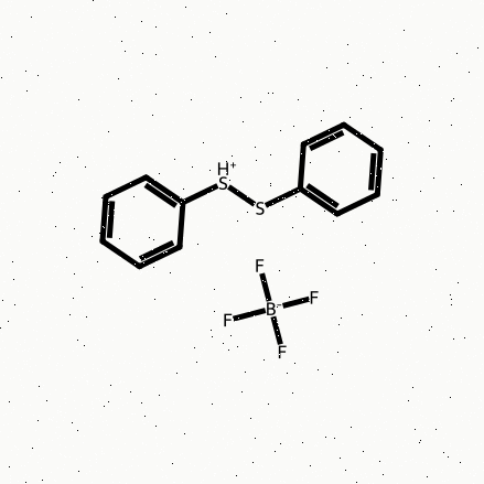 F[B-](F)(F)F.c1ccc(S[SH+]c2ccccc2)cc1